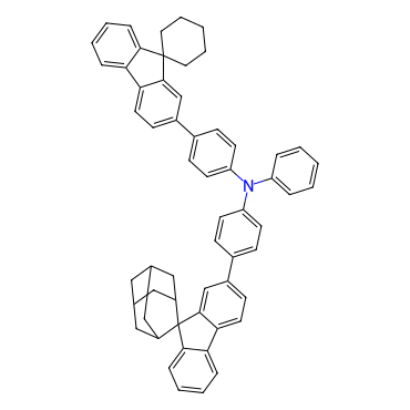 c1ccc(N(c2ccc(-c3ccc4c(c3)C3(CCCCC3)c3ccccc3-4)cc2)c2ccc(-c3ccc4c(c3)C3(c5ccccc5-4)C4CC5CC(C4)CC3C5)cc2)cc1